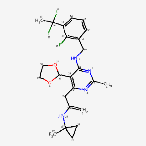 C=C(Cc1nc(C)nc(NCc2cccc(C(C)(F)F)c2F)c1C1OCCO1)NC1(C(F)(F)F)CC1